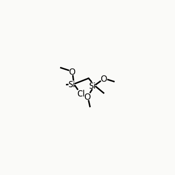 CO[Si](C)(Cl)C[Si](C)(OC)OC